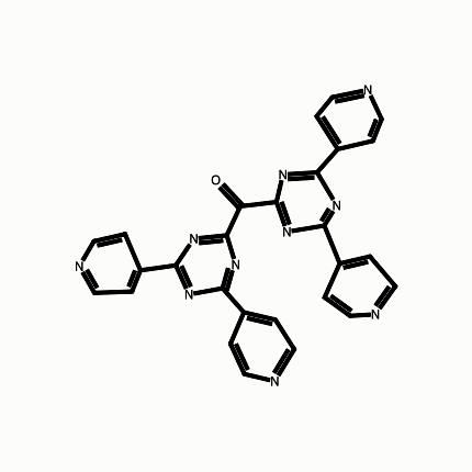 O=C(c1nc(-c2ccncc2)nc(-c2ccncc2)n1)c1nc(-c2ccncc2)nc(-c2ccncc2)n1